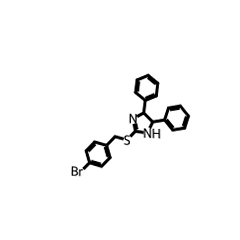 Brc1ccc(CSC2=NC(c3ccccc3)C(c3ccccc3)N2)cc1